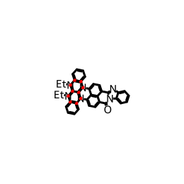 CCN1c2ccccc2N(c2ccc3c(=O)n4c5ccccc5nc4c4ccc(N5c6ccccc6N(CC)c6ccccc65)c2c34)c2ccccc21